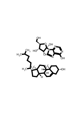 CC(C)CCCC(C)[C@H]1CC[C@H]2[C@@H]3CC=C4C[C@@H](O)CC[C@]4(C)[C@H]3CC[C@]12C.OC[C@H]1O[C@@](O)(n2cnc3c(O)ncnc32)[C@H](O)[C@@H]1O